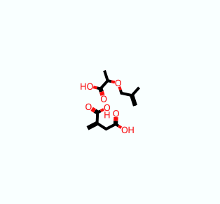 C=C(C)COC(C)C(=O)O.C=C(CC(=O)O)C(=O)O